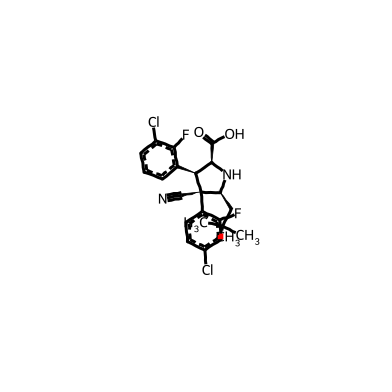 CC(C)(C)C[C@@H]1N[C@H](C(=O)O)[C@H](c2cccc(Cl)c2F)[C@@]1(C#N)c1ccc(Cl)cc1F